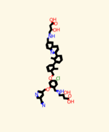 Cc1c(COc2cc(OCc3cncc(C#N)c3)c(CNC[C@@H](O)CC(=O)O)cc2Cl)cccc1-c1cccc(-c2ccc3cc(CNC[C@@H](O)CC(=O)O)ccc3n2)c1C